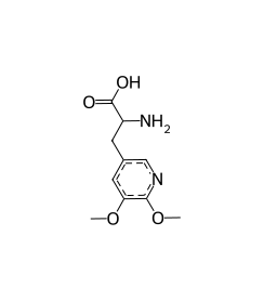 COc1cc(CC(N)C(=O)O)cnc1OC